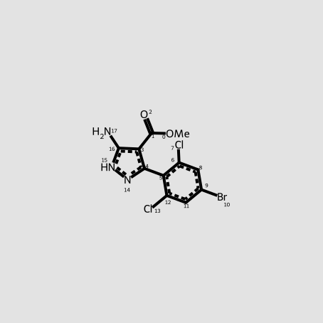 COC(=O)c1c(-c2c(Cl)cc(Br)cc2Cl)n[nH]c1N